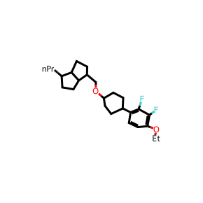 CCCC1CCC2C(COC3CCC(c4ccc(OCC)c(F)c4F)CC3)CCC12